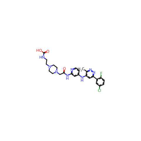 Cc1nnc(-c2cc(Cl)ccc2F)cc1Nc1ccnc(NC(=O)CN2CCN(CCNC(=O)O)CC2)c1